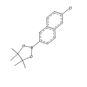 CC1(C)OB(c2ccc3cc(Cl)ccc3c2)OC1(C)C